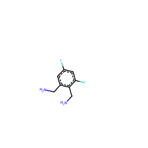 NCc1cc(F)cc(F)c1CN